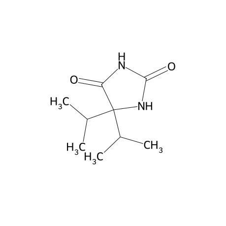 CC(C)C1(C(C)C)NC(=O)NC1=O